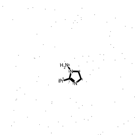 CC(C)C1=NCCN1N